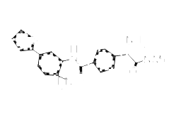 CNC(=O)[C@@H](N)c1ccc(C(=O)Nc2cc(-c3cccs3)ccc2N)cc1